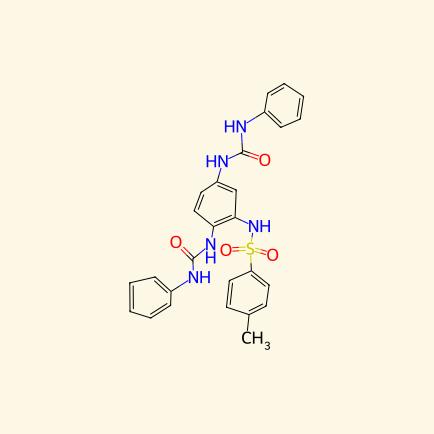 Cc1ccc(S(=O)(=O)Nc2cc(NC(=O)Nc3ccccc3)ccc2NC(=O)Nc2ccccc2)cc1